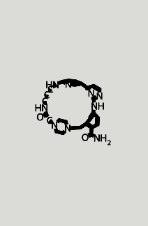 NC(=O)c1ccc2cc1CN1CCN(CC1)CC(=O)NCCCNc1ccc(cn1)-c1ccnc(n1)N2